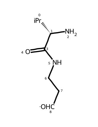 CC(C)[C@H](N)C(=O)NCC[C]=O